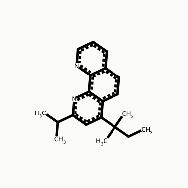 CCC(C)(C)c1cc(C(C)C)nc2c1ccc1cccnc12